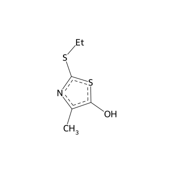 [CH2]CSc1nc(C)c(O)s1